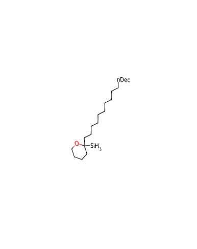 CCCCCCCCCCCCCCCCCCCCC1([SiH3])CCCCO1